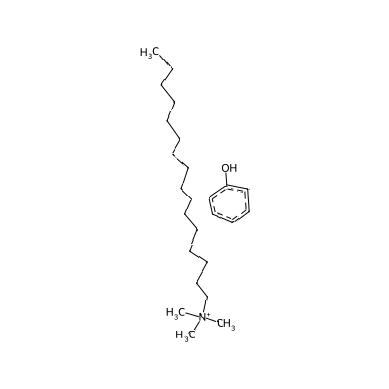 CCCCCCCCCCCCCCCC[N+](C)(C)C.Oc1ccccc1